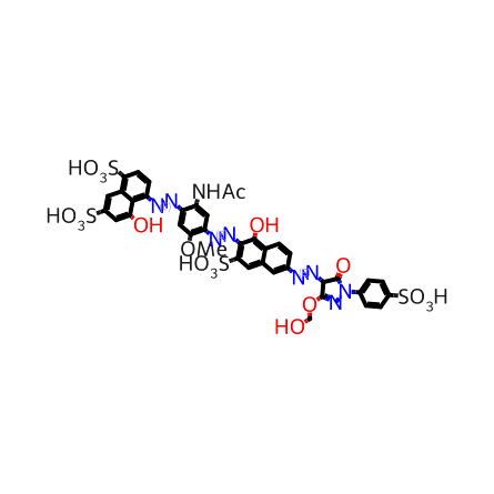 COc1cc(/N=N/c2ccc(S(=O)(=O)O)c3cc(S(=O)(=O)O)cc(O)c23)c(NC(C)=O)cc1/N=N/c1c(S(=O)(=O)O)cc2cc(/N=N/C3C(=O)N(c4ccc(S(=O)(=O)O)cc4)N=C3OCO)ccc2c1O